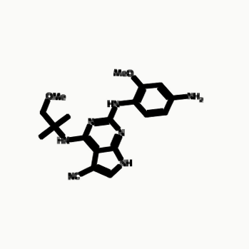 COCC(C)(C)Nc1nc(Nc2ccc(N)cc2OC)nc2[nH]cc(C#N)c12